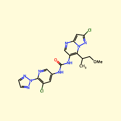 COCC(C)c1c(NC(=O)Nc2cnc(-n3nccn3)c(Cl)c2)cnc2cc(Cl)nn12